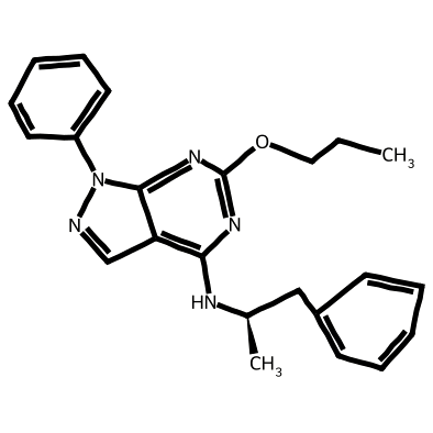 CCCOc1nc(N[C@H](C)Cc2ccccc2)c2cnn(-c3ccccc3)c2n1